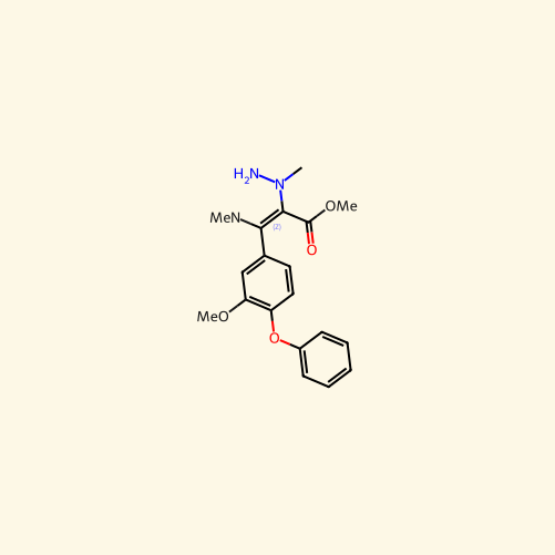 CN/C(=C(/C(=O)OC)N(C)N)c1ccc(Oc2ccccc2)c(OC)c1